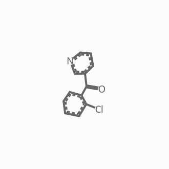 O=C(c1cccnc1)c1ccccc1Cl